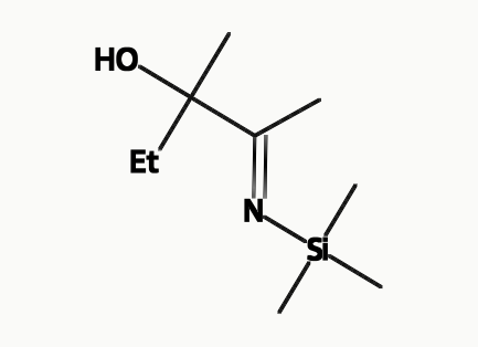 CCC(C)(O)C(C)=N[Si](C)(C)C